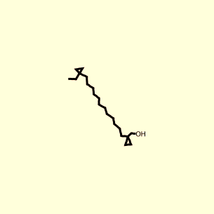 CCC1(CCCCCCCCCCCCC2(CO)CC2)CC1